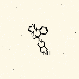 O=C(c1ccccc1-n1nccn1)N1CC2CNCC2C1